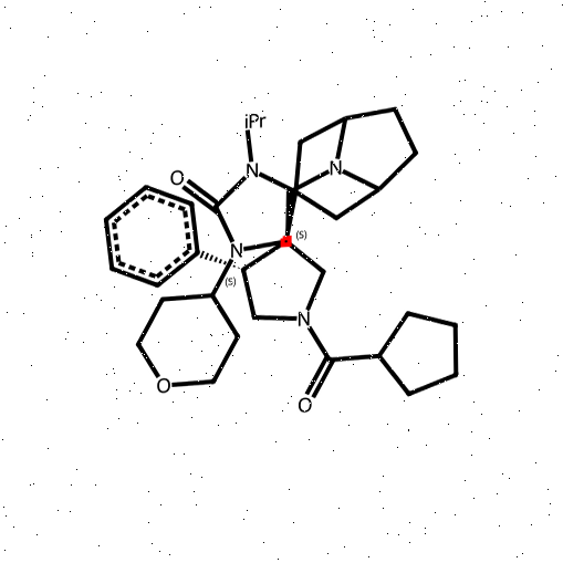 CC(C)N1C(=O)N(C2CCOCC2)CC12CC1CCC(C2)N1C[C@H]1CN(C(=O)C2CCCC2)C[C@@H]1c1ccccc1